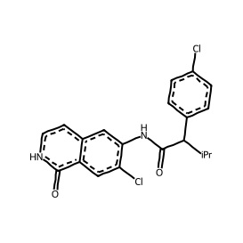 CC(C)C(C(=O)Nc1cc2cc[nH]c(=O)c2cc1Cl)c1ccc(Cl)cc1